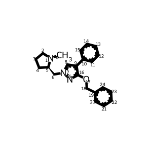 CN1CCC[C@@H]1Cn1cc(-c2ccccc2)c(OCc2ccccc2)n1